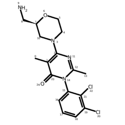 Cc1c(N2CCO[C@H](CN)C2)nc(C)n(-c2cccc(Cl)c2Cl)c1=O